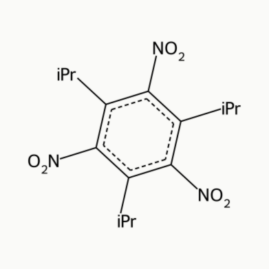 CC(C)c1c([N+](=O)[O-])c(C(C)C)c([N+](=O)[O-])c(C(C)C)c1[N+](=O)[O-]